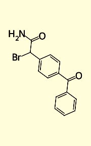 NC(=O)C(Br)c1ccc(C(=O)c2ccccc2)cc1